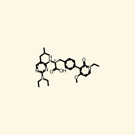 CCN(CC)c1ncc(CC(C)C)c(N[C@@H](Cc2ccc(-c3c(OC)ccn(CC)c3=O)cc2)C(=O)O)n1